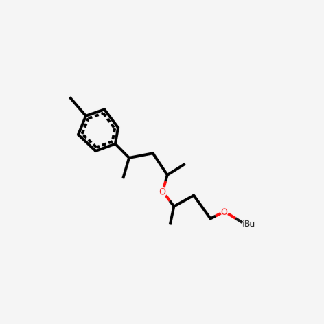 CCC(C)OCCC(C)OC(C)CC(C)c1ccc(C)cc1